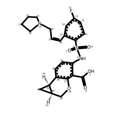 O=C(O)c1c(NS(=O)(=O)c2ccc(F)cc2/C=C\CN2CCCC2)ccc2c1OC[C@H]1C[C@@H]21